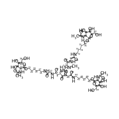 CNC(CC(=O)NC(CC(=O)NCC(=O)NCCCCCCO[C@@H]1O[C@H](CO)[C@H](O)[C@H](O)[C@H]1NC(C)=O)C(=O)NCC(=O)NCCCCCCO[C@@H]1O[C@H](CO)[C@H](O)[C@H](O)[C@H]1NC(C)=O)C(=O)NCC(=O)NCCCCCCO[C@@H]1O[C@H](CO)[C@H](O)[C@H](O)[C@H]1NC(C)=O